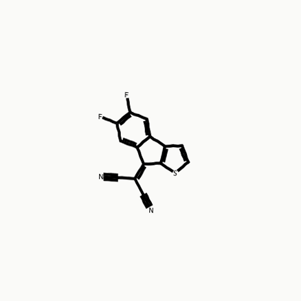 N#CC(C#N)=C1c2cc(F)c(F)cc2-c2ccsc21